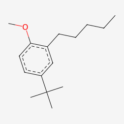 CCCCCc1cc(C(C)(C)C)ccc1OC